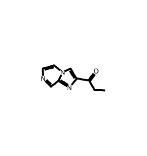 CCC(=O)c1cn2ccncc2n1